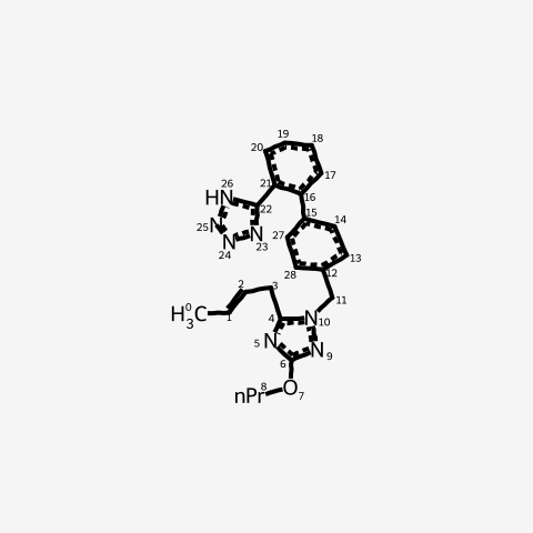 C/C=C/Cc1nc(OCCC)nn1Cc1ccc(-c2ccccc2-c2nnn[nH]2)cc1